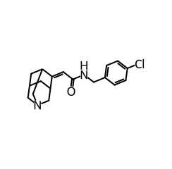 O=C(C=C1C2CC3CC1CN(C3)C2)NCc1ccc(Cl)cc1